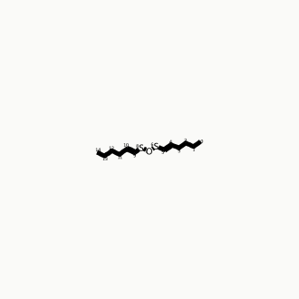 CCCCC=CSOSC=CCCCC